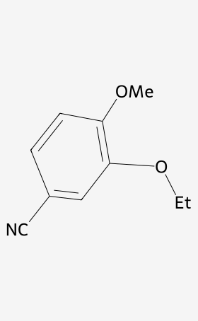 CCOc1cc(C#[15N])ccc1OC